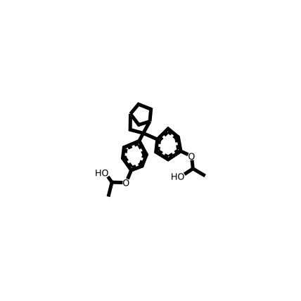 CC(O)Oc1ccc(C2(c3ccc(OC(C)O)cc3)CC3CCC2C3)cc1